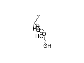 CC(C)CCC[C@@H](C)[C@H]1CC[C@H]2[C@@H]3CC=C4C[C@@H](OC(O)CCCCCO)CC[C@]4(C)[C@H]3CC[C@]12C